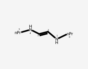 CCCNC=CNCCC